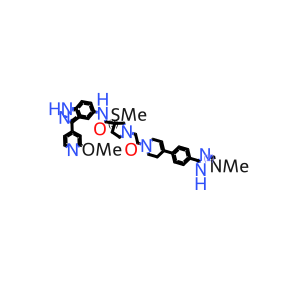 CN/C=N\C(=N)c1ccc(C2=CCN(C(=O)CN3CC[C@@](SC)(C(=O)Nc4ccc5[nH]nc(-c6ccnc(OC)c6)c5c4)C3)CC2)cc1